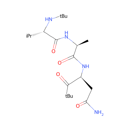 CC(C)[C@H](NC(C)(C)C)C(=O)N[C@@H](C)C(=O)N[C@@H](CC(N)=O)C(=O)C(C)(C)C